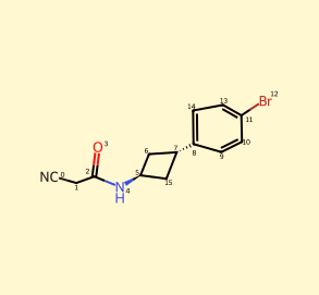 N#CCC(=O)N[C@H]1C[C@H](c2ccc(Br)cc2)C1